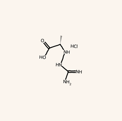 C[C@H](NNC(=N)N)C(=O)O.Cl